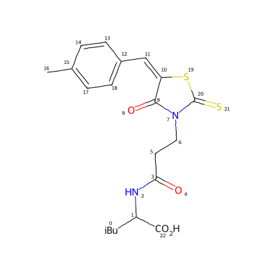 CCC(C)C(NC(=O)CCN1C(=O)/C(=C\c2ccc(C)cc2)SC1=S)C(=O)O